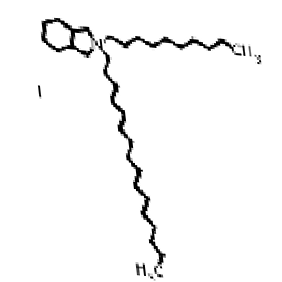 CCCCCCCCCCCCCCCC[N+]1(CCCCCCCCCC)CC2CCCCC2C1.[I-]